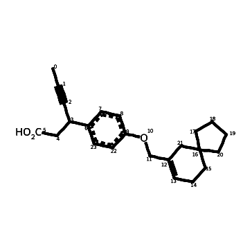 CC#CC(CC(=O)O)c1ccc(OCC2=CCCC3(CCCC3)C2)cc1